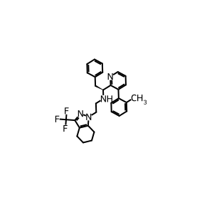 Cc1ccccc1-c1cccnc1[C@H](Cc1ccccc1)NCCn1nc(C(F)(F)F)c2c1CCCC2